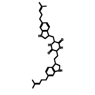 CC(C)=CCCc1ccc2c(c1)NCC2CCC1NC(=O)C(CC2CNc3cc(CCC=C(C)C)ccc32)NC1=O